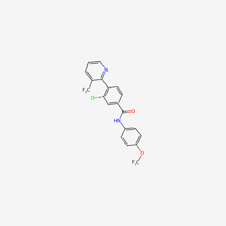 O=C(Nc1ccc(OC(F)(F)F)cc1)c1ccc(-c2ncccc2C(F)(F)F)c(Cl)c1